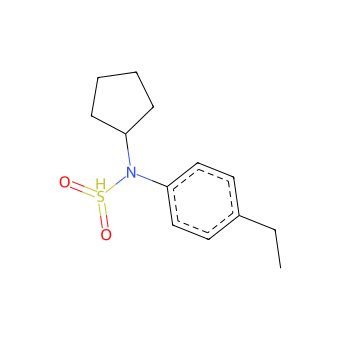 CCc1ccc(N(C2CCCC2)[SH](=O)=O)cc1